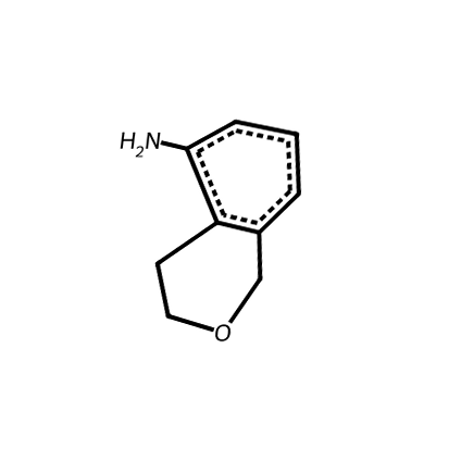 Nc1cccc2c1CCOC2